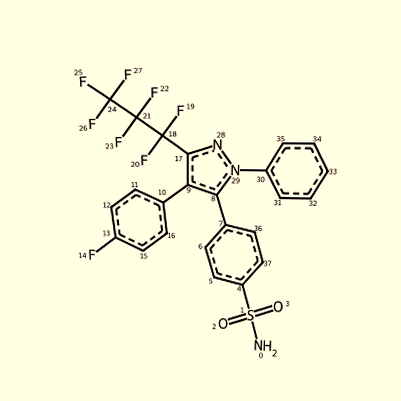 NS(=O)(=O)c1ccc(-c2c(-c3ccc(F)cc3)c(C(F)(F)C(F)(F)C(F)(F)F)nn2-c2ccccc2)cc1